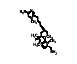 CC/C(=C/CCCCC1=CN=C(N)CN1C)C[C@@H](OC1=NC=C[C@H](CN)N1C)C(C)(F)CC